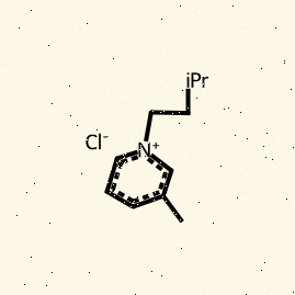 Cc1ccc[n+](CCC(C)C)c1.[Cl-]